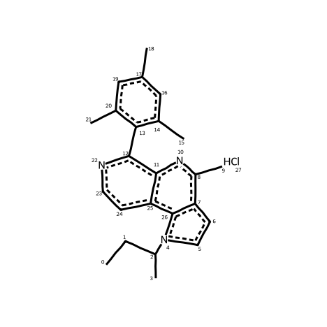 CCC(C)n1ccc2c(C)nc3c(-c4c(C)cc(C)cc4C)nccc3c21.Cl